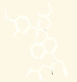 C#CCN(c1ccc(N(CC(=O)OC)S(=O)(=O)c2ccc(OC)c(C)c2)c2ccccc12)[C@@H](C)CC(=O)OC